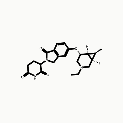 CCN1C[C@@H]2[C@H](C)[C@@H]2[C@@H](Oc2ccc3c(c2)CN(C2CCC(=O)NC2=O)C3=O)C1